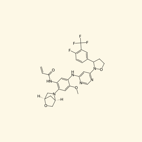 C=CC(=O)Nc1cc(Nc2cc(N3OCCC3c3ccc(F)c(C(F)(F)F)c3)ncn2)c(OC)cc1N1C[C@H]2C[C@@H]1CO2